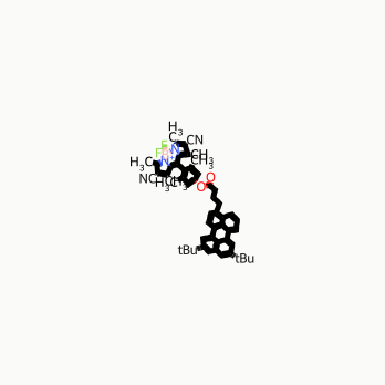 CC1=C(C#N)C(C)=[N+]2C1=C(c1c(C)cc(OC(=O)CCCc3ccc4c5cc(C(C)(C)C)cc6cc(C(C)(C)C)cc(c7cccc3c74)c65)cc1C)c1c(C)c(C#N)c(C)n1[B-]2(F)F